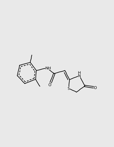 Cc1cccc(C)c1NC(=O)C=C1NC(=O)CS1